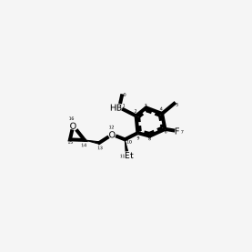 CBc1cc(C)c(F)cc1[C@@H](CC)OC[C@H]1CO1